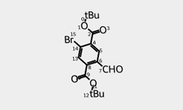 CC(C)(C)OC(=O)c1cc(C=O)c(C(=O)OC(C)(C)C)cc1Br